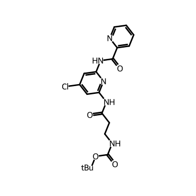 CC(C)(C)OC(=O)NCCC(=O)Nc1cc(Cl)cc(NC(=O)c2ccccn2)n1